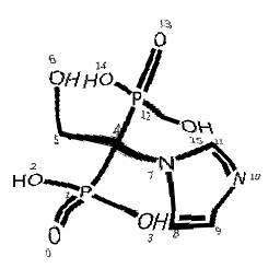 O=P(O)(O)C(CO)(n1ccnc1)P(=O)(O)O